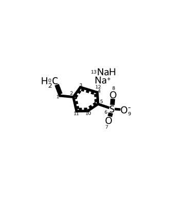 C=Cc1ccc(S(=O)(=O)[O-])cc1.[Na+].[NaH]